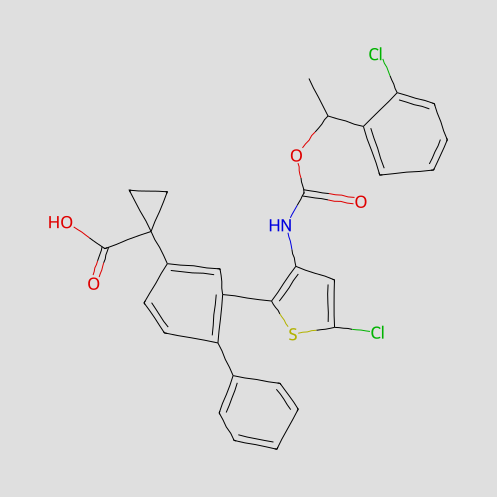 CC(OC(=O)Nc1cc(Cl)sc1-c1cc(C2(C(=O)O)CC2)ccc1-c1ccccc1)c1ccccc1Cl